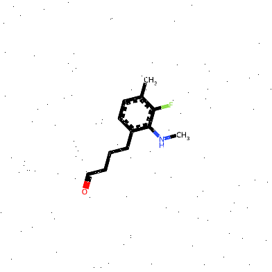 CNc1c(CCCC=O)ccc(C)c1F